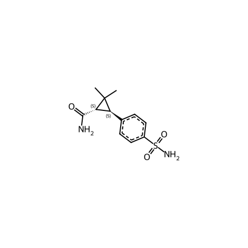 CC1(C)[C@@H](C(N)=O)[C@@H]1c1ccc(S(N)(=O)=O)cc1